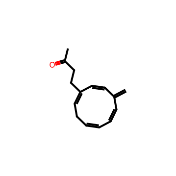 C=C1/C=C\C=C/C/C=C(CCC(C)=O)\C=C/1